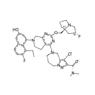 CCc1c(F)ccc2cc(O)cc(N3CCc4c(nc(OC[C@@]56CCCN5C[C@H](F)C6)nc4N4CCCn5nc(C(=O)N(C)C)c(Cl)c5C4)C3)c12